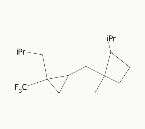 CC(C)CC1(C(F)(F)F)CC1CC1(C)CCC1C(C)C